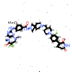 COc1cc(C(=O)NN2CC3(CCN(CC4CCN(c5ccc(C6CCC(=O)NC6=O)cc5F)CC4)CC3)C2)ccc1Nc1ncc2c(n1)N(C(C)C)CC(F)(F)C(=O)N2C